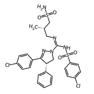 C[C@@H](C/N=C(/NS(=O)(=O)c1ccc(Cl)cc1)N1C[C@H](c2ccccc2)C(c2ccc(Cl)cc2)=N1)CS(N)(=O)=O